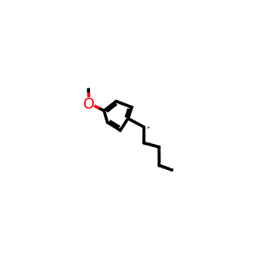 CCCC[CH]c1ccc(OC)cc1